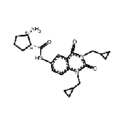 N[C@H]1CCC[C@H]1C(=O)Nc1ccc2c(c1)c(=O)n(CC1CC1)c(=O)n2CC1CC1